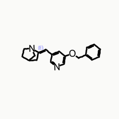 C(=C1/CC2CCN1C2)/c1cncc(OCc2ccccc2)c1